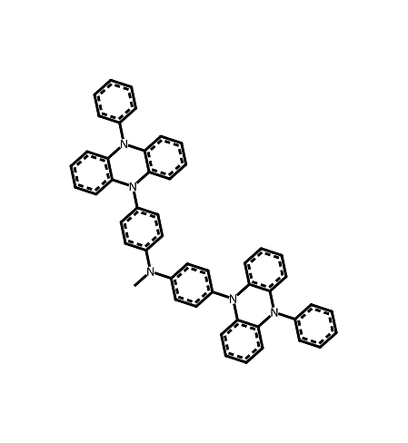 CN(c1ccc(N2c3ccccc3N(c3ccccc3)c3ccccc32)cc1)c1ccc(N2c3ccccc3N(c3ccccc3)c3ccccc32)cc1